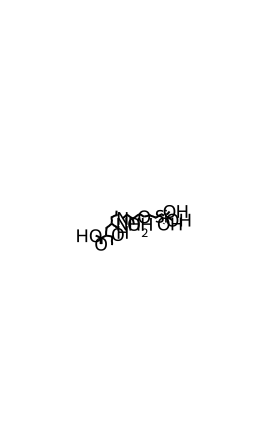 CCC(CC(CC(C)NCC(O)COCCC[Si](O)(O)O)C(N)=O)C(=O)O